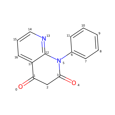 O=C1CC(=O)N(c2ccccc2)c2ncccc21